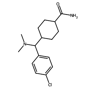 CN(C)C(c1ccc(Cl)cc1)C1CCC(C(N)=O)CC1